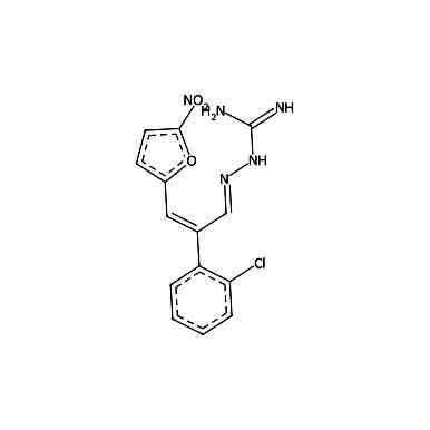 N=C(N)NN=CC(=Cc1ccc([N+](=O)[O-])o1)c1ccccc1Cl